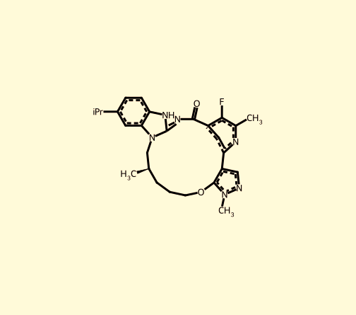 Cc1nc2cc(c1F)C(=O)/N=C1\Nc3ccc(C(C)C)cc3N1C[C@H](C)CCCOc1c-2cnn1C